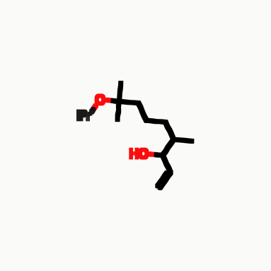 C=CC(O)C(C)CCCC(C)(C)OC(C)C